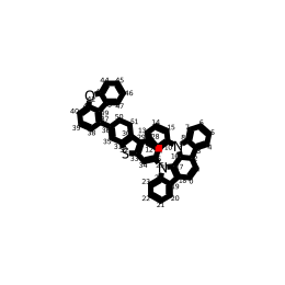 C1=CC2c3ccccc3N(c3ccccc3)C2c2c1c1ccccc1n2-c1ccc2c3c(sc2c1)C=C(c1cccc2oc4ccccc4c12)CC3